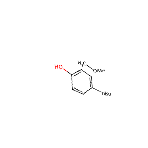 CCCCc1ccc(O)cc1.COC